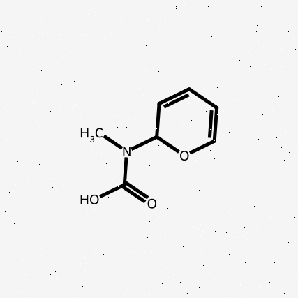 CN(C(=O)O)C1C=CC=CO1